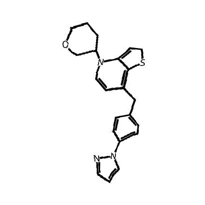 C1=CN(C2CCCOC2)C2=CCSC2=C1Cc1ccc(-n2cccn2)cc1